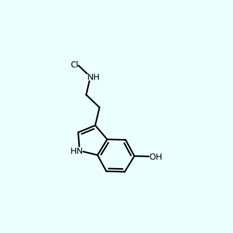 Oc1ccc2[nH]cc(CCNCl)c2c1